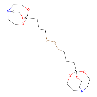 C(CSSSCCC[Si]12OCCN(CCO1)CCO2)C[Si]12OCCN(CCO1)CCO2